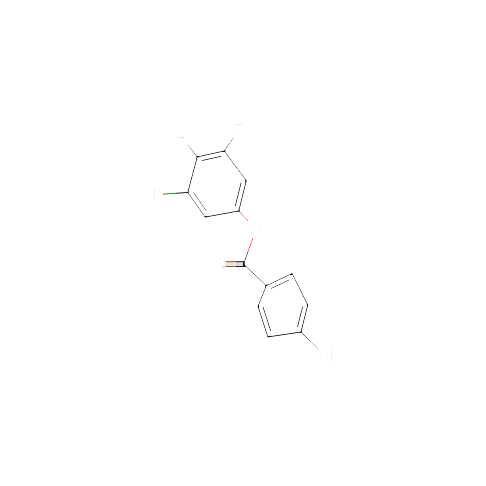 Fc1cc(OC(=S)c2ccc(Cl)cc2)cc(F)c1F